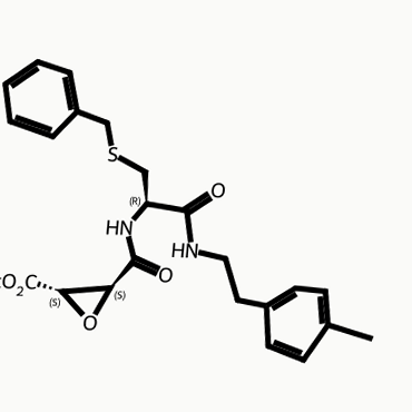 CCOC(=O)[C@H]1O[C@@H]1C(=O)N[C@@H](CSCc1ccccc1)C(=O)NCCc1ccc(C)cc1